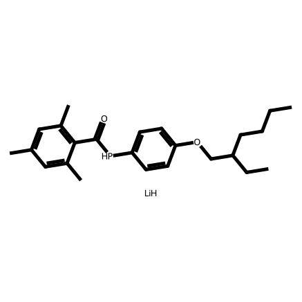 CCCCC(CC)COc1ccc(PC(=O)c2c(C)cc(C)cc2C)cc1.[LiH]